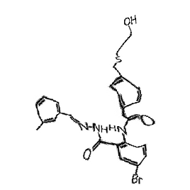 Cc1cccc(C=NNC(=O)c2cc(Br)ccc2NC(=O)c2ccc(CSCCO)cc2)c1